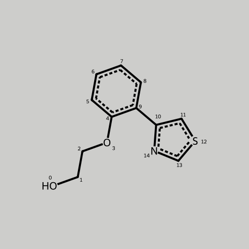 OCCOc1ccccc1-c1cscn1